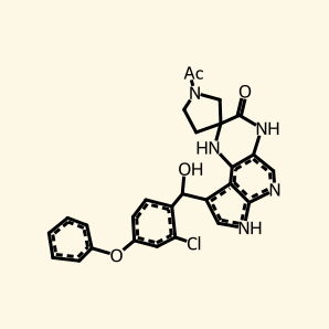 CC(=O)N1CCC2(C1)Nc1c(cnc3[nH]cc(C(O)c4ccc(Oc5ccccc5)cc4Cl)c13)NC2=O